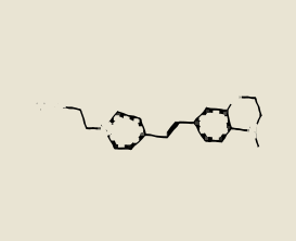 CSCC[n+]1ccc(/C=C/c2ccc3c(c2)OCCN3C)cc1